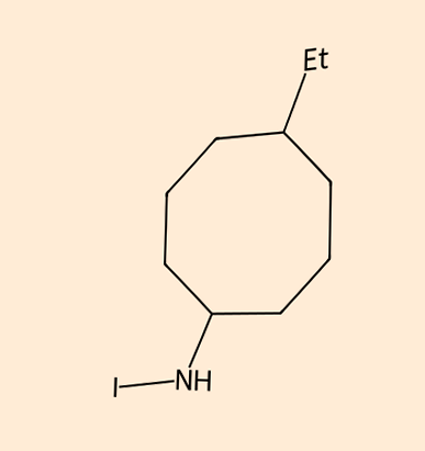 CCC1CCCC(NI)CCC1